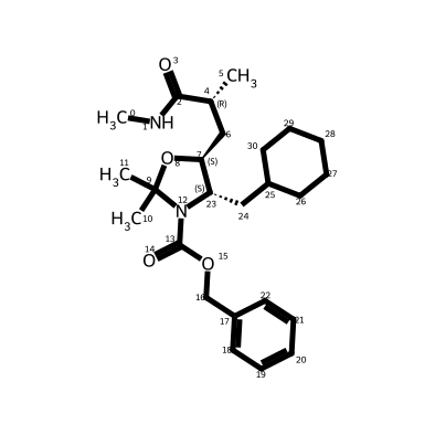 CNC(=O)[C@H](C)C[C@@H]1OC(C)(C)N(C(=O)OCc2ccccc2)[C@H]1CC1CCCCC1